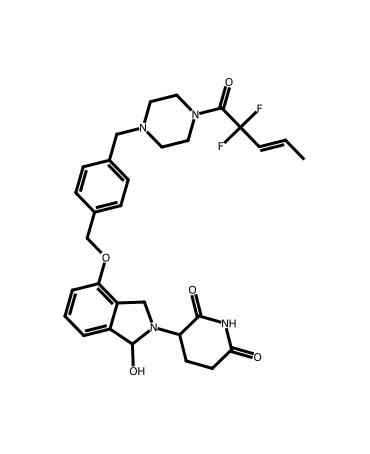 C/C=C/C(F)(F)C(=O)N1CCN(Cc2ccc(COc3cccc4c3CN(C3CCC(=O)NC3=O)C4O)cc2)CC1